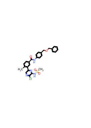 Cc1ccc(C(=O)Nc2ccc(COCc3ccccc3)cc2)cc1-c1cnc(Cl)c(NS(C)(=O)=O)n1